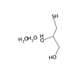 O.O.OCC(O)CS